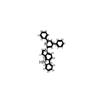 c1ccc(-c2cc(-c3ccccc3)nc(-n3ccc4c5[nH]c6ccccc6c5ccc43)c2)cc1